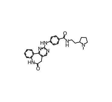 CN1CCCC1CCNC(=O)c1ccc(Nc2ncc3c(n2)-c2ccccc2NC(=O)C3)cc1